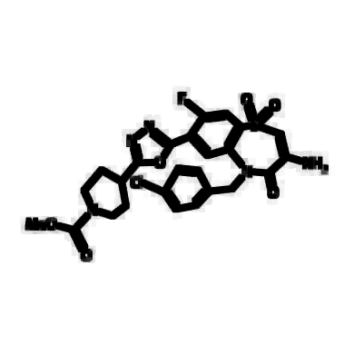 COC(=O)N1CCC(c2nnc(-c3cc4c(cc3F)S(=O)(=O)C=C(N)C(=O)N4Cc3ccc(Cl)cc3)o2)CC1